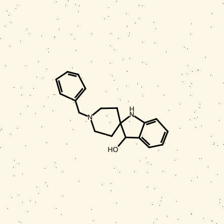 OC1c2ccccc2NC12CCN(Cc1ccccc1)CC2